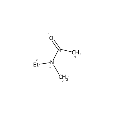 [CH2]N(CC)C(C)=O